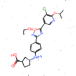 CC(C)Oc1ncc(-c2nc(-c3ccc(N[C@H]4CC[C@@H](C(=O)O)C4)cc3)no2)cc1Cl.CCO